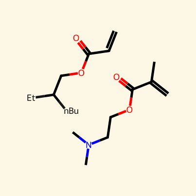 C=C(C)C(=O)OCCN(C)C.C=CC(=O)OCC(CC)CCCC